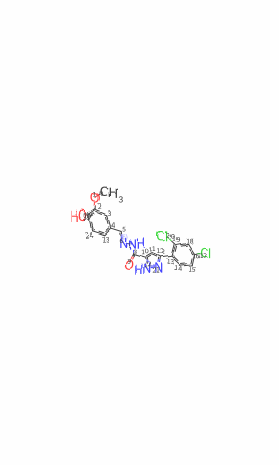 COc1cc(/C=N/NC(=O)c2cc(-c3ccc(Cl)cc3Cl)n[nH]2)ccc1O